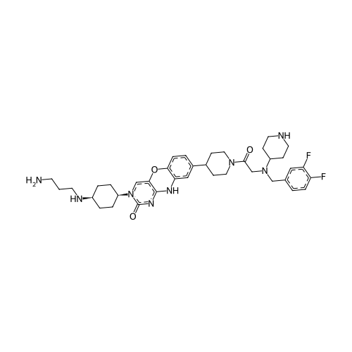 NCCCN[C@H]1CC[C@@H](n2cc3c(nc2=O)Nc2cc(C4CCN(C(=O)CN(Cc5ccc(F)c(F)c5)C5CCNCC5)CC4)ccc2O3)CC1